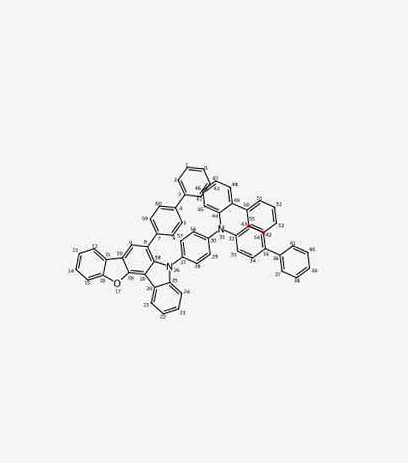 c1ccc(-c2ccc(-c3cc4c5ccccc5oc4c4c5ccccc5n(-c5ccc(N(c6ccc(-c7ccccc7)cc6)c6ccccc6-c6ccccc6)cc5)c34)cc2)cc1